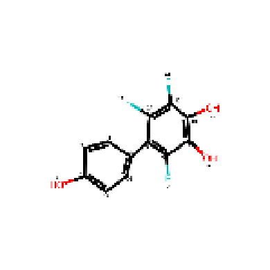 Oc1ccc(-c2c(F)c(O)c(O)c(F)c2F)cc1